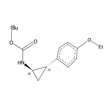 CCOc1ccc([C@@H]2C[C@H]2NC(=O)OC(C)(C)C)cc1